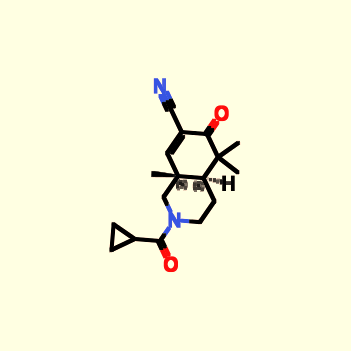 CC1(C)C(=O)C(C#N)=C[C@@]2(C)CN(C(=O)C3CC3)CC[C@H]12